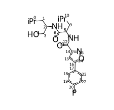 CC(C)CC(CO)NC(=O)C(CC(C)C)NC(=O)c1cc(-c2ccc(F)cc2)on1